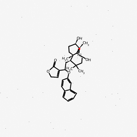 CC1(C)CC[C@]23[N+](O)=C[C@]2(C)[C@H](O)CC[C@@]3(C)[C@@H]1CC(Oc1ccc2ccccc2c1)C1=CCOC1=O